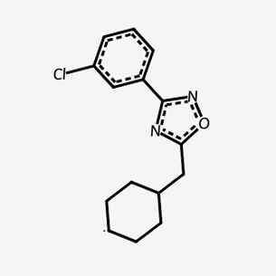 Clc1cccc(-c2noc(CC3CC[CH]CC3)n2)c1